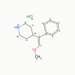 COC=C(c1ccccc1)C1CCNCC1.Cl